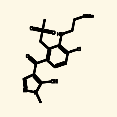 COCCNc1c(Cl)ccc(C(=O)c2cnn(C)c2O)c1CS(C)(=O)=O